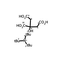 CC(C)(C)N(C(C)(C)C)C(C)(C)C.O=C(O)CC(O)(CC(=O)O)C(=O)O